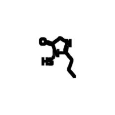 CCCC1=NCC(=O)N1S